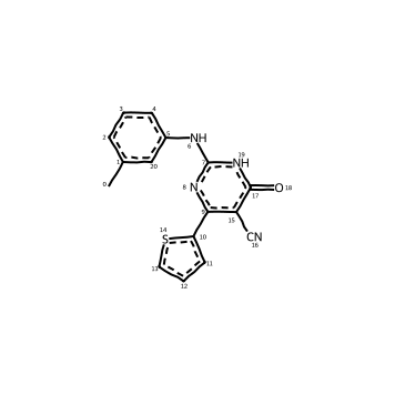 Cc1cccc(Nc2nc(-c3cccs3)c(C#N)c(=O)[nH]2)c1